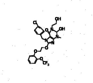 CN1c2nc(OCCOc3ccccc3OC(F)(F)F)n(Cc3ccc(Cl)cc3)c2C(=O)N(CCO)C1O